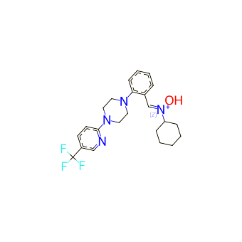 O/[N+](=C\c1ccccc1N1CCN(c2ccc(C(F)(F)F)cn2)CC1)C1CCCCC1